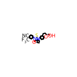 N#Cc1ccc(N2C(=O)C3(CCC3)N(c3ccc4c(c3)CC[C@@H](CO)O4)C2=S)cc1C(F)(F)F